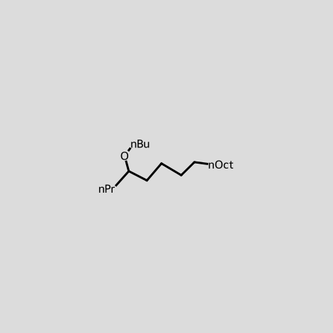 [CH2]CCC(CCCCCCCCCCCC)OCCCC